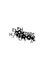 CC/C(C)=C(/c1c(N)ncnc1NC(C)c1cc(Cl)c(C)c(-c2ccc(C(=O)N(C)C)nc2)c1OC)C(F)F